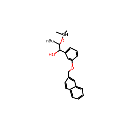 CCCCC(O[SiH](C)C)C(O)c1cccc(OCc2ccc3ccccc3c2)c1